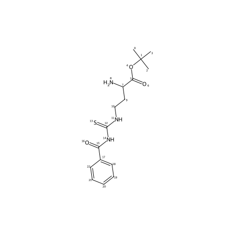 CC(C)(C)OC(=O)C(N)CCNC(=S)NC(=O)c1ccccc1